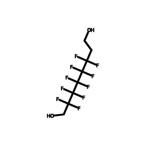 OCCC(F)(F)C(F)(F)C(F)(F)C(F)(F)C(F)(F)CO